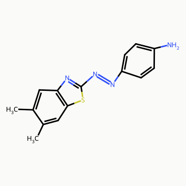 Cc1cc2nc(/N=N/c3ccc(N)cc3)sc2cc1C